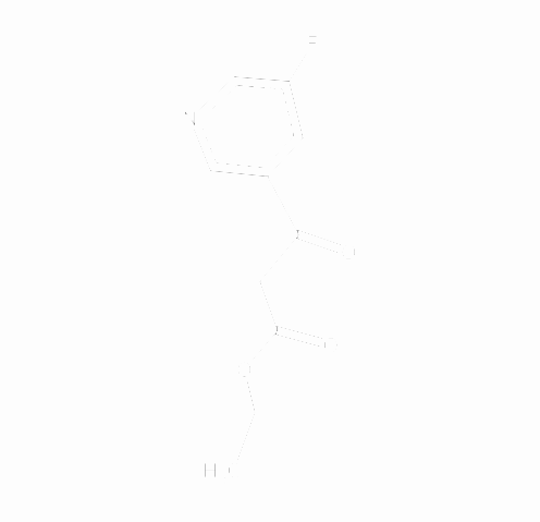 CCOC(=O)CC(=O)c1cncc(F)c1